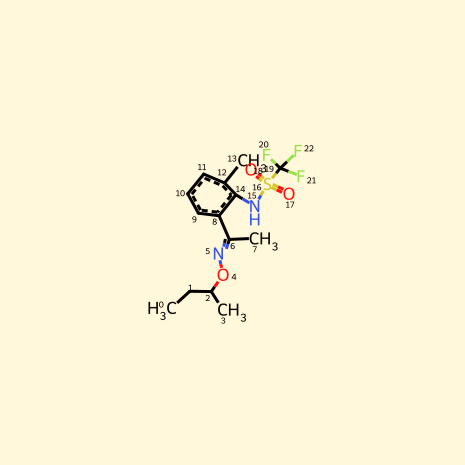 CCC(C)O/N=C(\C)c1cccc(C)c1NS(=O)(=O)C(F)(F)F